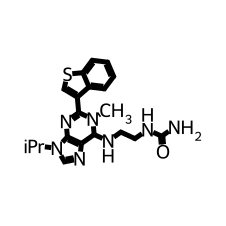 CC(C)n1cnc2c1N=C(c1csc3ccccc13)N(C)C2NCCNC(N)=O